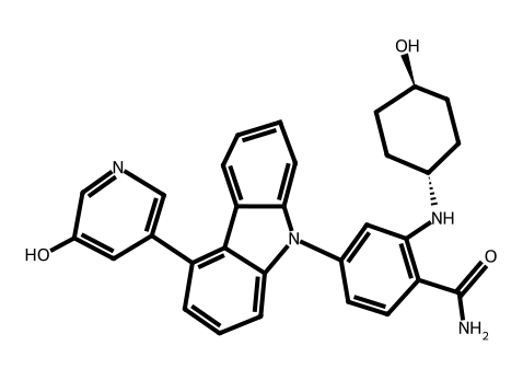 NC(=O)c1ccc(-n2c3ccccc3c3c(-c4cncc(O)c4)cccc32)cc1N[C@H]1CC[C@H](O)CC1